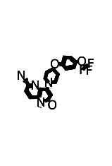 Cn1c(=O)cc(N2CCC(Oc3ccc(OC(F)(F)F)cc3)CC2)c2nc(C#N)ccc21